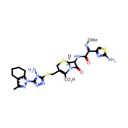 CON=C(C(=O)NC1C(=O)N2C(C(=O)O)=C(CSc3nnc(-n4nc(C)c5c4CCCC5)n3N)CS[C@@H]12)c1csc(N)n1